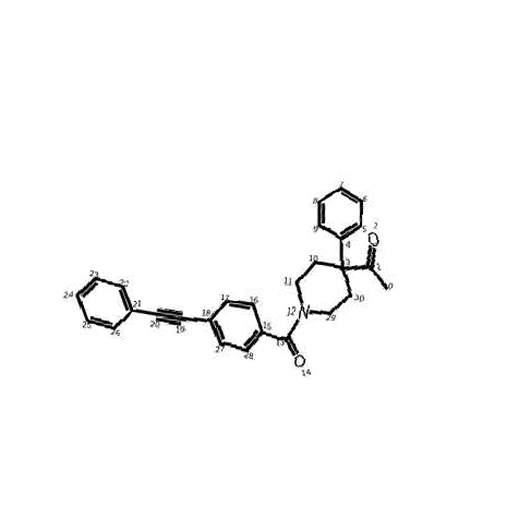 CC(=O)C1(c2ccccc2)CCN(C(=O)c2ccc(C#Cc3ccccc3)cc2)CC1